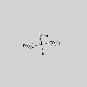 CCC[C@H](C)C(CC)(C(=O)OCC)C(=O)OCC